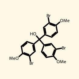 COc1ccc(C(O)(c2ccc(OC)c(Br)c2)c2ccc(OC)c(Br)c2)cc1Br